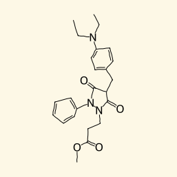 CCN(CC)c1ccc(CC2C(=O)N(CCC(=O)OC)N(c3ccccc3)C2=O)cc1